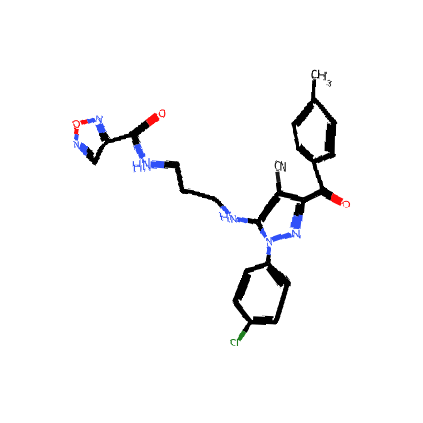 Cc1ccc(C(=O)c2nn(-c3ccc(Cl)cc3)c(NCCCNC(=O)c3cnon3)c2C#N)cc1